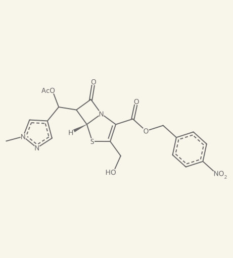 CC(=O)OC(c1cnn(C)c1)C1C(=O)N2C(C(=O)OCc3ccc([N+](=O)[O-])cc3)=C(CO)S[C@H]12